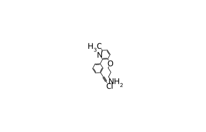 Cc1ccc(OCCCN)c(-c2cccc(C#CCl)c2)n1